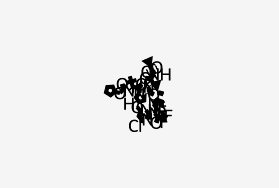 C=C[C@@H]1C[C@]1(NC(=O)[C@@H]1C[C@@H](Oc2cc(Cl)nc(N(C(=O)C(F)(F)F)c3nccs3)n2)CN1C(=O)[C@@H](NC(=O)OC1CCCC1)C(C)(C)C)C(=O)NS(=O)(=O)C1CC1